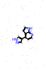 c1cc(-c2cn[nH]c2)c2cc[nH]c2n1